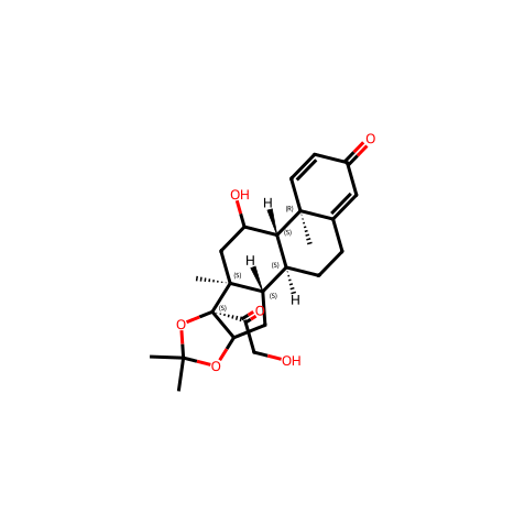 CC1(C)OC2C[C@H]3[C@@H]4CCC5=CC(=O)C=C[C@]5(C)[C@H]4C(O)C[C@]3(C)[C@]2(C(=O)CO)O1